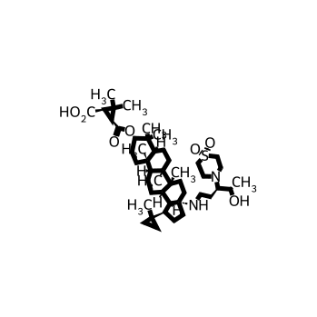 C[C@@H](O)[C@@H](CCN[C@]12CC[C@@H](C3(C)CC3)[C@@H]1[C@H]1CC[C@@H]3[C@@]4(C)CC[C@H](OC(=O)[C@H]5[C@@H](C(=O)O)C5(C)C)C(C)(C)[C@@H]4CC[C@@]3(C)[C@]1(C)CC2)N1CCS(=O)(=O)CC1